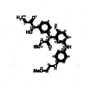 C=CC(=O)N(O)c1cccc(N(C(=O)OC(C)(C)C)c2nc(Nc3ccc(OCCOC)cc3)ncc2F)c1